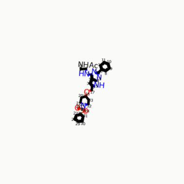 CC(=O)NCCNc1nc(-c2ccccc2)nc2[nH]c(COC3CCN(S(=O)(=O)c4ccccc4)CC3)cc12